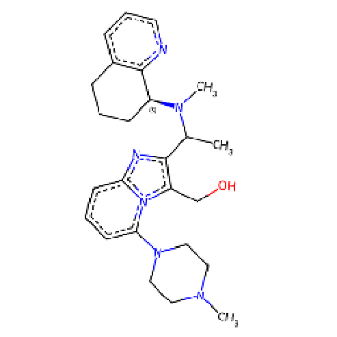 CC(c1nc2cccc(N3CCN(C)CC3)n2c1CO)N(C)[C@H]1CCCc2cccnc21